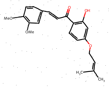 COc1ccc(C=CC(=O)c2ccc(OCC=C(C)C)cc2O)cc1OC